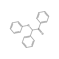 O=C(c1ccccc1)C(Oc1ccccc1)c1ccccc1